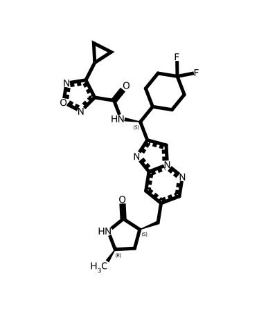 C[C@@H]1C[C@H](Cc2cnn3cc([C@@H](NC(=O)c4nonc4C4CC4)C4CCC(F)(F)CC4)nc3c2)C(=O)N1